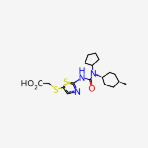 C[C@H]1CC[C@@H](N(C(=O)Nc2ncc(SCC(=O)O)s2)C2CCCC2)CC1